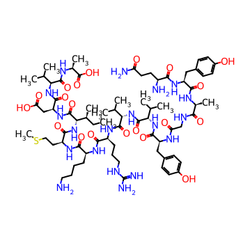 CC[C@H](C)[C@H](NC(=O)[C@H](CCSC)NC(=O)[C@H](CCCCN)NC(=O)[C@H](CCCNC(=N)N)NC(=O)[C@@H](NC(=O)[C@@H](NC(=O)[C@H](Cc1ccc(O)cc1)NC(=O)CNC(=O)[C@H](C)NC(=O)[C@H](Cc1ccc(O)cc1)NC(=O)[C@@H](N)CCC(N)=O)C(C)C)C(C)C)C(=O)N[C@@H](CC(=O)O)C(=O)N[C@H](C(=O)N[C@@H](C)C(=O)O)C(C)C